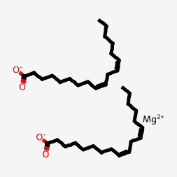 CCCCC/C=C\C/C=C\CCCCCCCC(=O)[O-].CCCCC/C=C\C/C=C\CCCCCCCC(=O)[O-].[Mg+2]